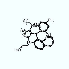 CCc1n[nH]c(N(C)C)c1C(c1c(Cl)cc(C(F)(F)F)cc1Cl)c1c(OCCO)ccc2cccnc12